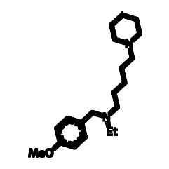 CCN(CCCCCN1CC[CH]CC1)Cc1ccc(OC)cc1